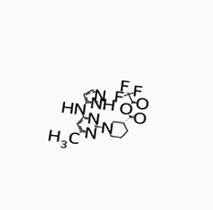 Cc1cc(Nc2ccn[nH]2)nc(N2CCC[C@@H](C(=O)OC(=O)C(F)(F)F)C2)n1